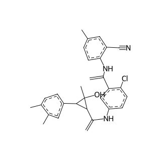 C=C(Nc1ccc(C)cc1C#N)c1cc(NC(=C)C2C(c3ccc(C)c(C)c3)C2(C)O)ccc1Cl